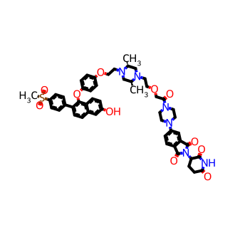 C[C@@H]1CN(CCOCC(=O)N2CCN(c3ccc4c(c3)C(=O)N(C3CCC(=O)NC3=O)C4=O)CC2)[C@@H](C)CN1CCOc1ccc(Oc2c(-c3ccc(S(C)(=O)=O)cc3)ccc3cc(O)ccc23)cc1